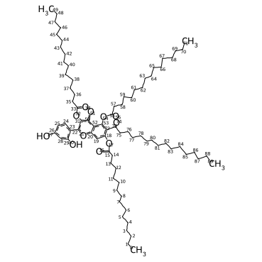 CCCCCCCCCCCCCCCC(=O)Oc1cc2oc(-c3ccc(O)cc3O)c(OC(=O)CCCCCCCCCCCCCCC)c(=O)c2c(OC(=O)CCCCCCCCCCCCCCC)c1C(=O)CCCCCCCCCCCCCCC